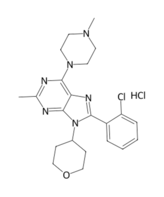 Cc1nc(N2CCN(C)CC2)c2nc(-c3ccccc3Cl)n(C3CCOCC3)c2n1.Cl